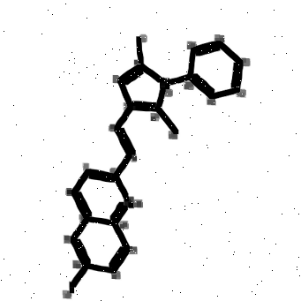 Cc1cc(/C=C/c2ccc3cc(I)ccc3n2)c(C)n1-c1ccccc1